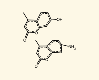 Cc1cc(=O)oc2cc(N)ccc12.Cc1cc(=O)oc2cc(O)ccc12